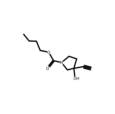 C#CC1(O)CCN(C(=O)OCCCC)C1